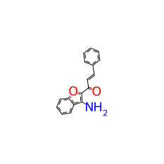 Nc1c(C(=O)/C=C/c2ccccc2)oc2ccccc12